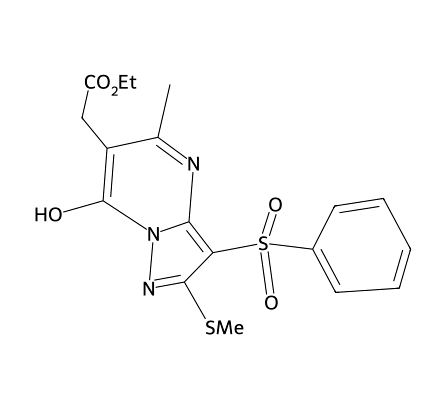 CCOC(=O)Cc1c(C)nc2c(S(=O)(=O)c3ccccc3)c(SC)nn2c1O